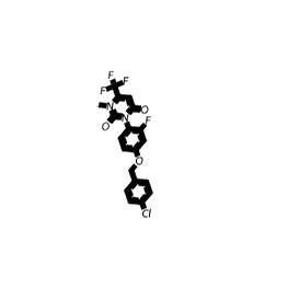 Cn1c(C(F)(F)F)cc(=O)n(-c2ccc(OCc3ccc(Cl)cc3)cc2F)c1=O